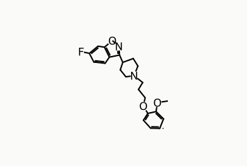 COc1c[c]ccc1OCCCN1CCC(c2noc3cc(F)ccc23)CC1